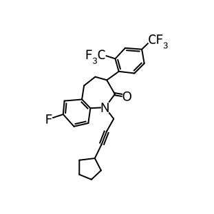 O=C1C(c2ccc(C(F)(F)F)cc2C(F)(F)F)CCc2cc(F)ccc2N1CC#CC1CCCC1